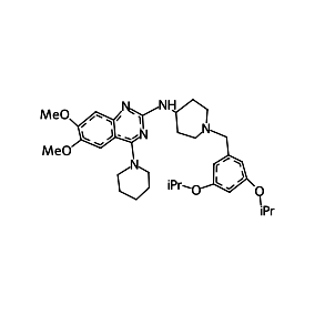 COc1cc2nc(NC3CCN(Cc4cc(OC(C)C)cc(OC(C)C)c4)CC3)nc(N3CCCCC3)c2cc1OC